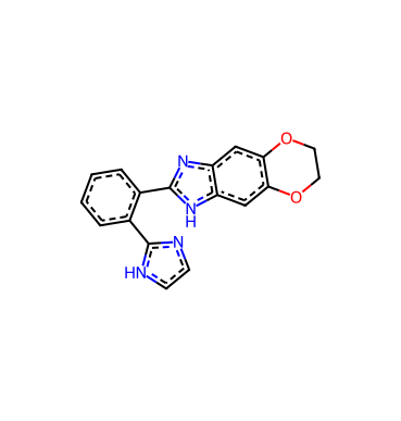 c1ccc(-c2nc3cc4c(cc3[nH]2)OCCO4)c(-c2ncc[nH]2)c1